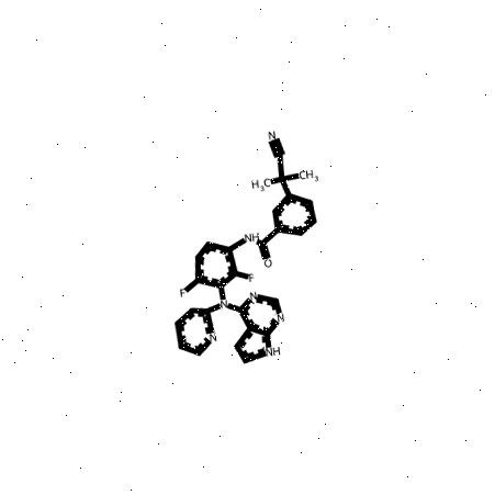 CC(C)(C#N)c1cccc(C(=O)Nc2ccc(F)c(N(c3ccccn3)c3ncnc4[nH]ccc34)c2F)c1